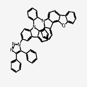 c1ccc(-c2nnn(-c3ccc4c(c3)c3ccccc3n4-c3ccccc3-n3c4ccccc4c4c5oc6ccccc6c5ccc43)c2-c2ccccc2)cc1